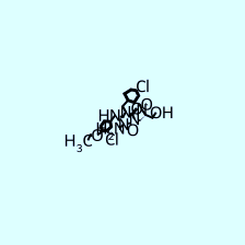 CCOc1ccc(NC2N(N)C(=O)N(C[C@@H](CO)N=O)C(=O)N2Cc2ccc(Cl)cc2)cc1Cl